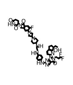 CC[C@@]1(O)CCc2ccc(-n3c4nc(Nc5ccc(NCCNC6CCN(C7CN(c8cc9c(cc8F)C(=O)N(C8CCC(=O)NC8=O)C9)C7)CC6)cc5)ncc4c(=O)n3CC=C(F)F)nc21